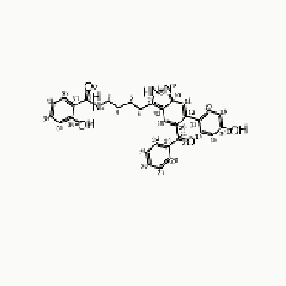 O=C(NCCCCc1[nH]nc2cc(-c3ccc(O)cc3)c(C(=O)c3ccccc3)cc12)c1ccccc1O